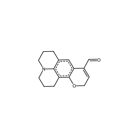 O=CC1=CCOc2c1cc1c3c2CCCN3CCC1